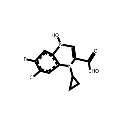 O=CC(=O)C1=CN(O)c2cc(F)c(Cl)cc2N1C1CC1